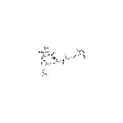 CC(=O)OCc1ccc(O[C@@H]2O[C@H](C(=O)O)C[C@H](O)[C@H]2O)cc1OCCOCCNC(=O)CCCCCN1C(=O)C=CC1=O